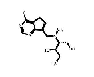 CC[C@@H](O)[C@@H](CO)N(C)CC1=CCc2c(Cl)ncnc21